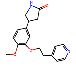 COc1ccc(C2CNC(=O)C2)cc1OCCc1ccncc1